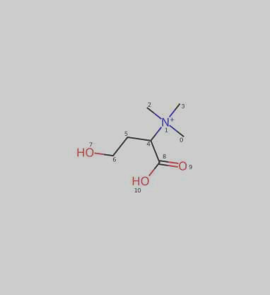 C[N+](C)(C)C(CCO)C(=O)O